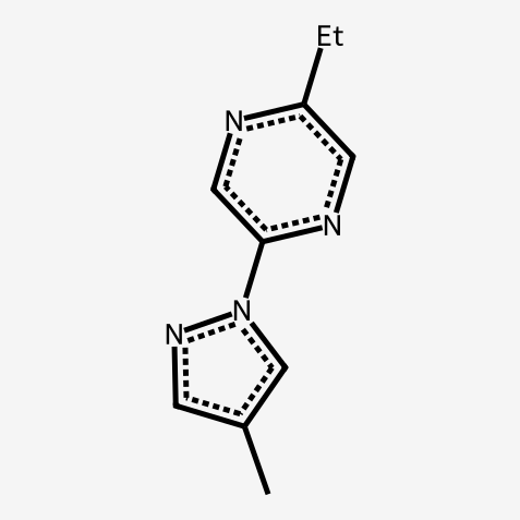 CCc1cnc(-n2cc(C)cn2)cn1